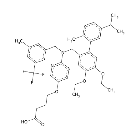 CCOc1cc(CN(Cc2cc(C)cc(C(F)(F)F)c2)c2ncc(OCCCC(=O)O)cn2)c(-c2cc(C(C)C)ccc2C)cc1OCC